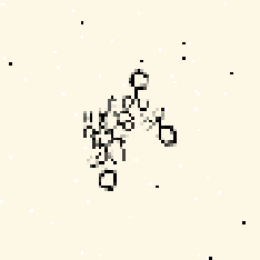 C[C@@]1(F)[C@@H](c2[nH]c(=O)nc(NC(=O)c3ccccc3)c2F)O[C@H](COC(=O)c2ccccc2)[C@H]1OC(=O)c1ccccc1